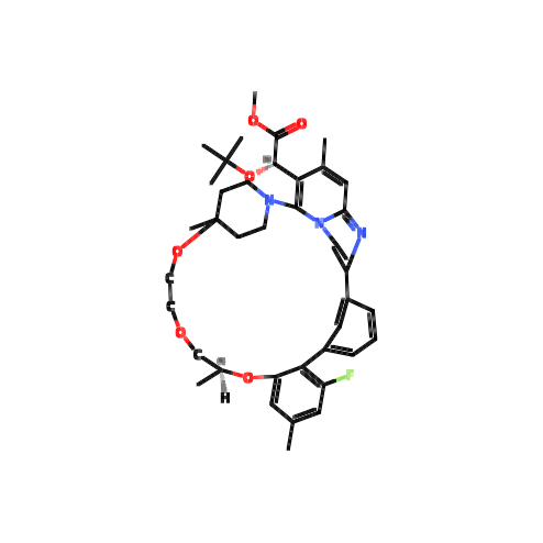 COC(=O)[C@@H](OC(C)(C)C)c1c(C)cc2nc3cn2c1N1CCC(C)(CC1)OCCOC[C@H](C)Oc1cc(C)cc(F)c1-c1cccc-3c1